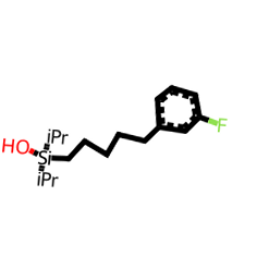 CC(C)[Si](O)(CCCCCc1cccc(F)c1)C(C)C